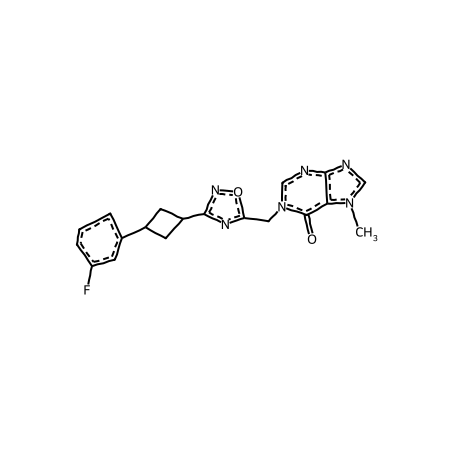 Cn1cnc2ncn(Cc3nc(C4CC(c5cccc(F)c5)C4)no3)c(=O)c21